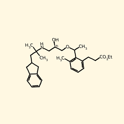 CCOC(=O)CCc1cccc(C)c1C(C)OC[C@H](O)CNC(C)(C)CC1Cc2ccccc2C1